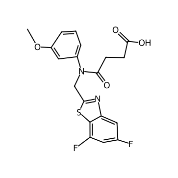 COc1cccc(N(Cc2nc3cc(F)cc(F)c3s2)C(=O)CCC(=O)O)c1